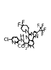 Cc1cc([C@@H](C)Nc2ccc(Cl)nc2C(=O)O)c2nc(N3CCC(F)(F)CC3)n3cc(C4C(F)(F)C4(F)F)nc3c2c1